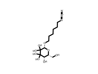 [N-]=[N+]=NCCCCCCO[C@@H]1O[C@H](CO)[C@H](O)C(O)(O)C1(O)O